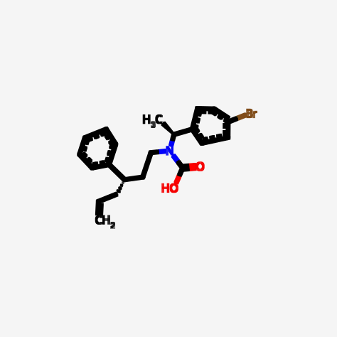 C=CC[C@@H](CCN(C(=O)O)[C@@H](C)c1ccc(Br)cc1)c1ccccc1